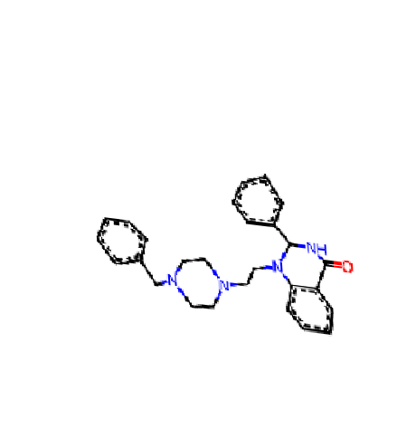 O=C1NC(c2ccccc2)N(CCN2CCN(Cc3ccccc3)CC2)c2ccccc21